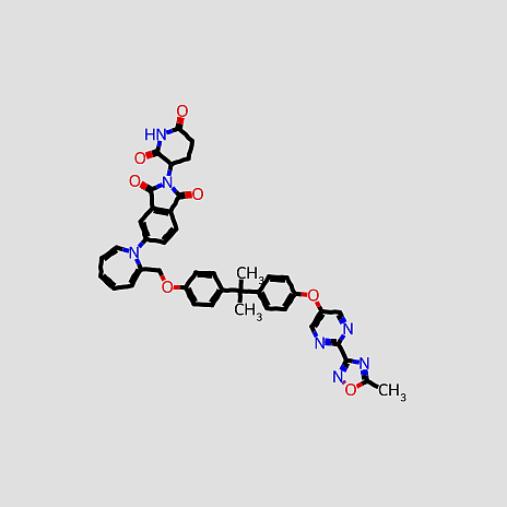 Cc1nc(-c2ncc(Oc3ccc(C(C)(C)c4ccc(OCC5=CC=CC=CN5c5ccc6c(c5)C(=O)N(C5CCC(=O)NC5=O)C6=O)cc4)cc3)cn2)no1